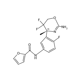 C[C@]1(c2cc(NC(=O)c3ccco3)ccc2F)N=C(N)OCC1(F)F